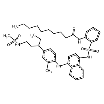 CCCCCCCCCC(=O)Nc1ccccc1S(=O)(=O)Nc1ccc(Nc2ccc(N(CC)CCNS(C)(=O)=O)cc2C)c2ccccc12